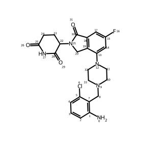 Nc1cccc(Cl)c1CN1CCN(c2cc(F)cc3c2CN(C2CCC(=O)NC2=O)C3=O)CC1